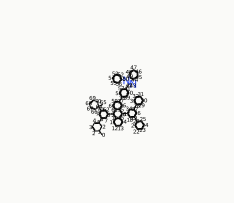 CC1C=CC=C(c2cc(-c3c4ccccc4c(-c4cc(-c5ccccc5)cc(-c5ccccc5)c4)c4cc(-c5ccc(-c6nc7ccccc7n6-c6ccccc6)cc5)ccc34)cc(C3(C)C=CC=CC3)c2)C1